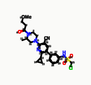 COCCC(=O)N1CCN(c2nc(C3CC3)c(-c3cccc(NS(=O)(=O)CCl)c3)cc2C#N)C[C@H]1C